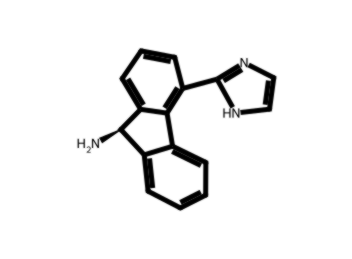 N[C@@H]1c2ccccc2-c2c(-c3ncc[nH]3)cccc21